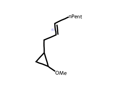 CCCCC/C=C/CC1CC1OC